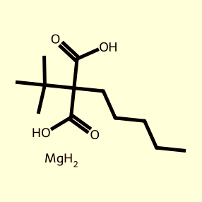 CCCCCC(C(=O)O)(C(=O)O)C(C)(C)C.[MgH2]